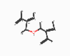 C=C(C)C(=CC)C(C)OC(C)C(=CC)C(=C)C